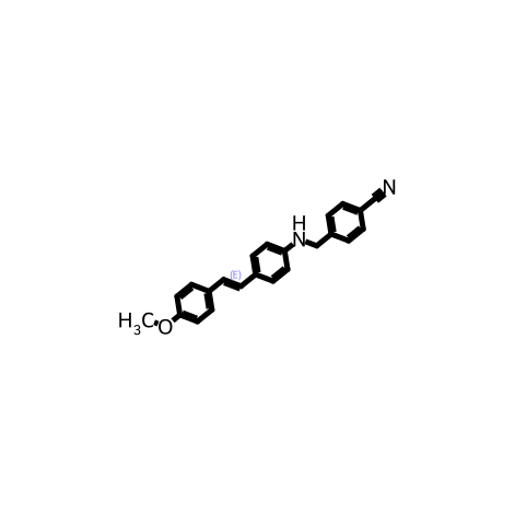 COc1ccc(/C=C/c2ccc(NCc3ccc(C#N)cc3)cc2)cc1